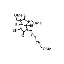 CCN1C(=O)N(COC/C=C/COC)C2(CC)N(COC)C(=O)N(COC)C12CC